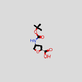 CC(C)(C)OC(=O)N[C@H]1CO[C@@H](C(=O)O)C1